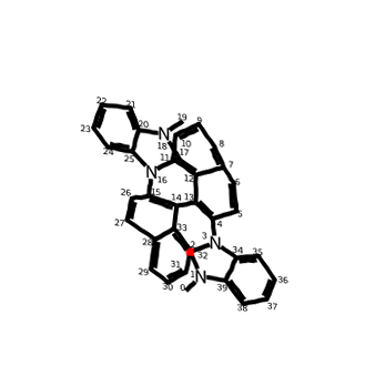 CN1CN(c2ccc3ccccc3c2-c2c(N3CN(C)c4ccccc43)ccc3ccccc23)c2ccccc21